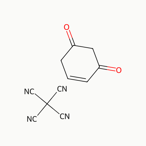 N#CC(C#N)(C#N)C#N.O=C1C=CCC(=O)C1